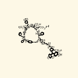 NC(=O)[C@H](CCCCNC(=S)Nc1ccc(-c2c3ccc(=O)cc-3oc3cc(O)ccc23)c(C(=O)O)c1)NC(=O)CN1C[C@H](Cc2ccccc2)NC(=O)CN(C(=O)CCC(=O)O)C[C@H](CCC(=O)O)NC(=O)CN(C(=O)Cc2ccc3c(c2)OCO3)C[C@H](CCC(=O)O)NC(=O)CN(C(=O)CCc2ccccc2)C[C@H](Cc2ccccc2)NC(=O)c2ccc(cc2)CSCCC1=O